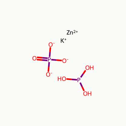 O=P([O-])([O-])[O-].OP(O)O.[K+].[Zn+2]